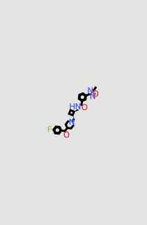 Cc1nc(-c2cccc(C(=O)NC[C@@H]3CC[C@H]3CN3CCC(C(=O)c4ccc(F)cc4)CC3)c2)no1